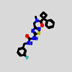 CN(Cc1nsc(NC(=O)NCc2cccc(F)c2)n1)C(=O)C1(c2ccccc2)CCC1